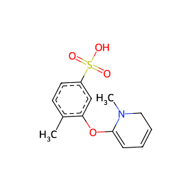 Cc1ccc(S(=O)(=O)O)cc1OC1=CC=CCN1C